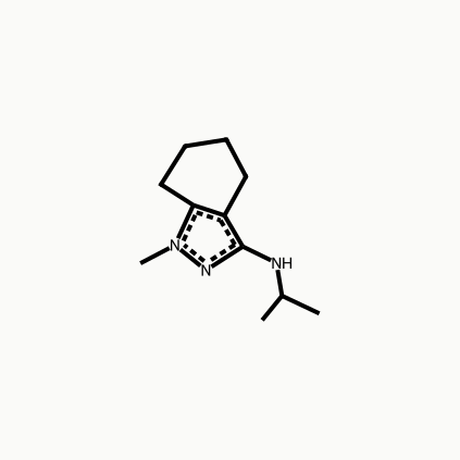 CC(C)Nc1nn(C)c2c1CCCC2